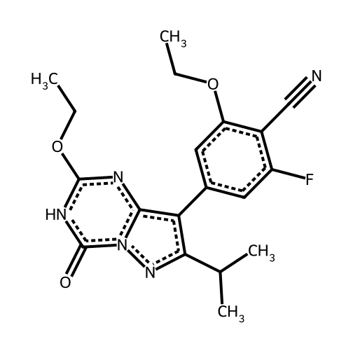 CCOc1nc2c(-c3cc(F)c(C#N)c(OCC)c3)c(C(C)C)nn2c(=O)[nH]1